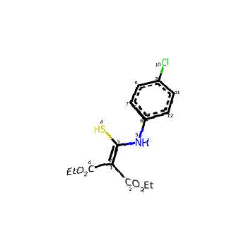 CCOC(=O)C(C(=O)OCC)=C(S)Nc1ccc(Cl)cc1